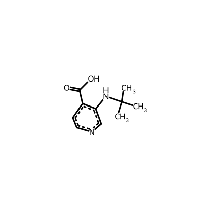 CC(C)(C)Nc1cnccc1C(=O)O